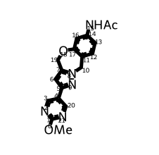 COc1ncc(-c2cc3n(n2)Cc2ccc(NC(C)=O)cc2OC3)cn1